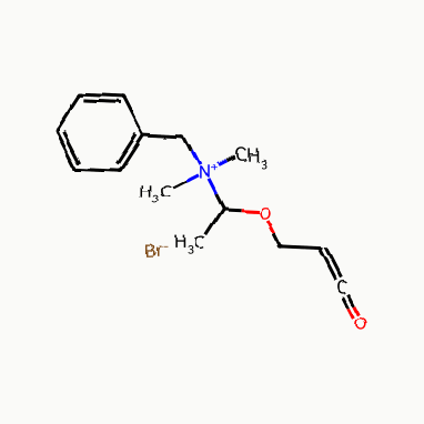 CC(OCC=C=O)[N+](C)(C)Cc1ccccc1.[Br-]